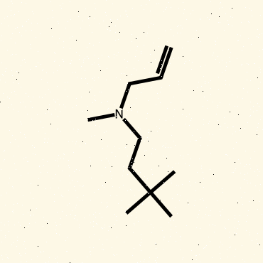 C=CCN(C)CCC(C)(C)C